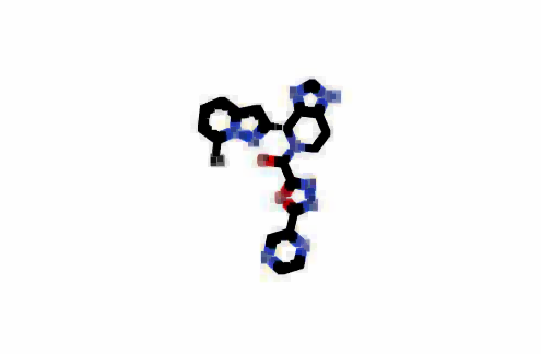 CCc1cccc2cc([C@@H]3c4nc[nH]c4CCN3C(=O)c3nnc(-c4cnccn4)o3)nn12